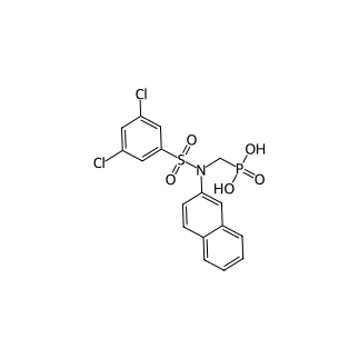 O=P(O)(O)CN(c1ccc2ccccc2c1)S(=O)(=O)c1cc(Cl)cc(Cl)c1